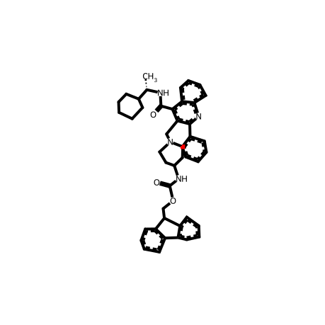 C[C@H](NC(=O)c1c(CN2CCC(NC(=O)OCC3c4ccccc4-c4ccccc43)CC2)c(-c2ccccc2)nc2ccccc12)C1CCCCC1